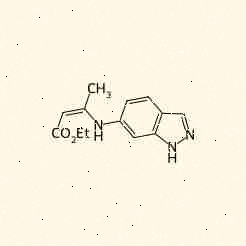 CCOC(=O)/C=C(/C)Nc1ccc2cn[nH]c2c1